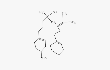 CC(C)(O)CCCC1=CCC(C=O)CC1.CC(C)=CCCC1=CCCCC1